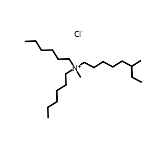 CCCCCC[N+](C)(CCCCCC)CCCCCC(C)CC.[Cl-]